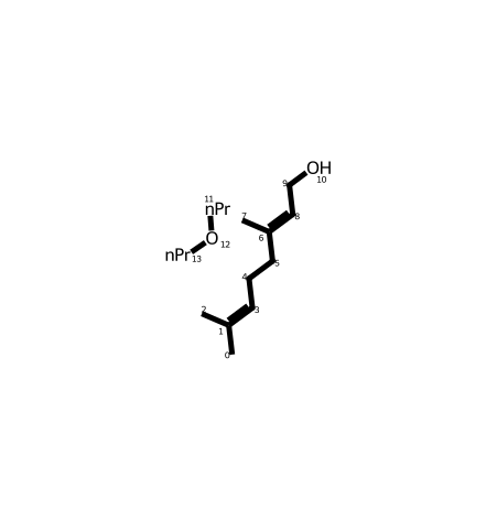 CC(C)=CCC/C(C)=C/CO.CCCOCCC